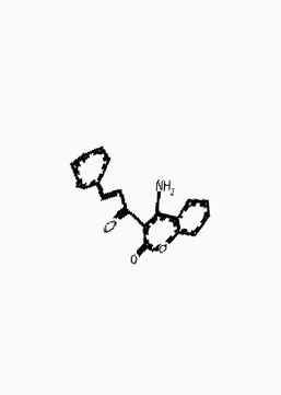 Nc1c(C(=O)C=Cc2ccccc2)c(=O)oc2ccccc12